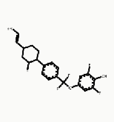 CCCC=CC1CCC(c2ccc(C(F)(F)Oc3cc(F)c(C#N)c(F)c3)cc2)C(F)C1